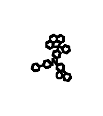 c1ccc(-c2ccc(N(c3ccc(C4(c5ccccc5)c5cccc6ccc7cccc4c7c56)cc3)c3ccc4c(c3)oc3ccccc34)cc2)cc1